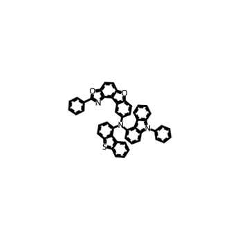 c1ccc(-c2nc3c(ccc4oc5ccc(N(c6cccc7sc8ccccc8c67)c6cccc7c6c6ccccc6n7-c6ccccc6)cc5c43)o2)cc1